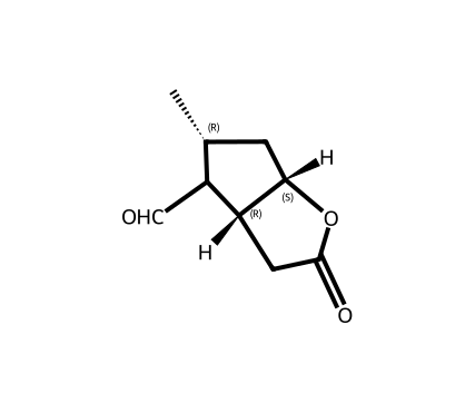 C[C@@H]1C[C@@H]2OC(=O)C[C@@H]2C1C=O